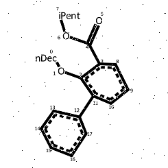 CCCCCCCCCCOc1c(C(=O)OC(C)CCC)cccc1-c1ccccc1